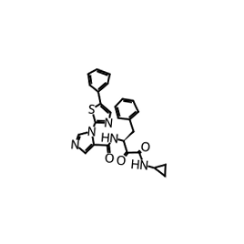 O=C(NC1CC1)C(=O)[C@H](Cc1ccccc1)NC(=O)c1cncn1-c1ncc(-c2ccccc2)s1